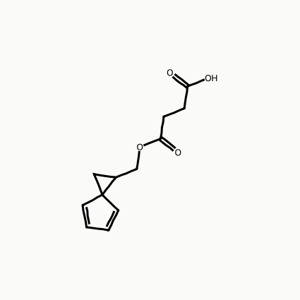 O=C(O)CCC(=O)OCC1CC12C=CC=C2